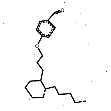 CCCCCC1CCCCC1CCCOc1ccc(C=O)cc1